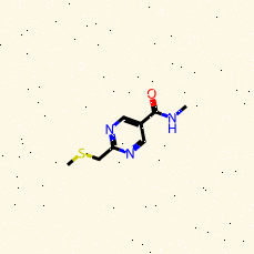 CNC(=O)c1cnc(CSC)nc1